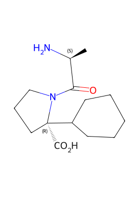 C[C@H](N)C(=O)N1CCC[C@]1(C(=O)O)C1CCCCC1